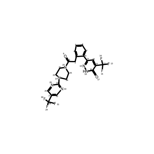 O=C(Cc1ccccc1-c1cc(C(F)(F)F)c(=O)[nH]n1)N1CCN(c2ncc(C(F)(F)F)cn2)CC1